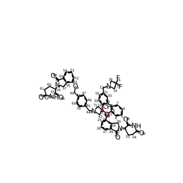 CC1(Oc2ccccc2-c2cc(CN3CC(F)(F)C3)ccc2COc2cccc3c2CN(C2CCC(=O)NC2=O)C3=O)CN(Cc2ccc(COc3cccc4c3CN(C3CCC(=O)NC3=O)C4=O)cc2)C1